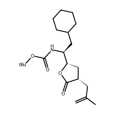 C=C(C)C[C@H]1C[C@@H]([C@H](CC2CCCCC2)NC(=O)OC(C)(C)C)OC1=O